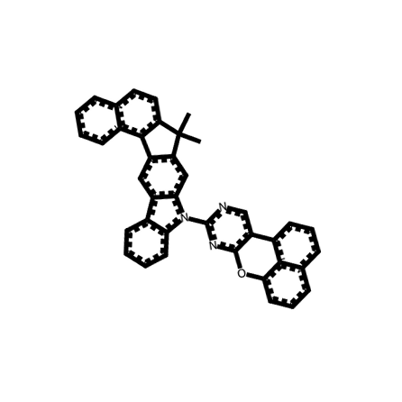 CC1(C)c2cc3c(cc2-c2c1ccc1ccccc21)c1ccccc1n3-c1ncc2c(n1)Oc1cccc3cccc-2c13